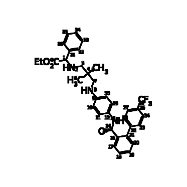 CCOC(=O)C(NCC(C)(C)CNc1ccc(NC(=O)c2ccccc2-c2ccc(C(F)(F)F)cc2)cc1)c1ccccc1